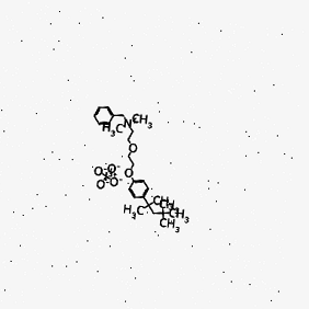 CC(C)(C)CC(C)(C)c1ccc(OCCOCC[N+](C)(C)Cc2ccccc2)cc1.[O-][I+3]([O-])([O-])[O-]